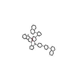 c1cc(-c2ccccc2-c2cccc3ccccc23)cc(N(c2ccc(-c3ccc(-c4cccc5ccccc45)cc3)cc2)c2ccccc2-c2ccc3sc4ccccc4c3c2)c1